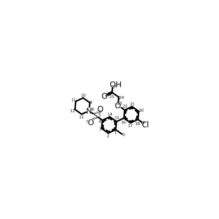 Cc1ccc(S(=O)(=O)N2CCCCC2)cc1-c1cc(Cl)ccc1OCC(=O)O